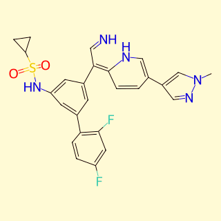 Cn1cc(C2=CN/C(=C(\C=N)c3cc(NS(=O)(=O)C4CC4)cc(-c4ccc(F)cc4F)c3)C=C2)cn1